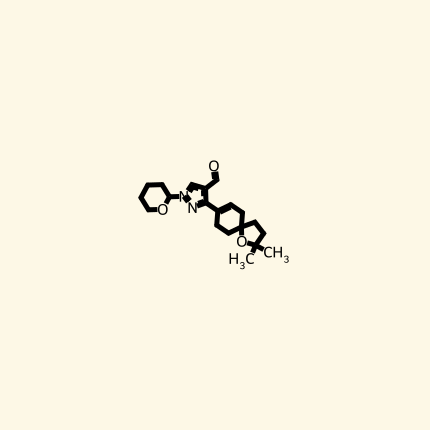 CC1(C)CCC2(CC=C(c3nn(C4CCCCO4)cc3C=O)CC2)O1